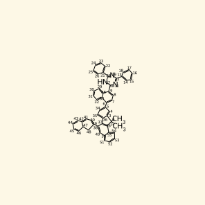 CC1(C)c2cc(-c3ccc(C4N=C(c5ccccc5)N=C(c5ccccc5)N4)c4ccccc34)ccc2-c2c(C3=CC=C4C=CC=CC4C3)cc3ccccc3c21